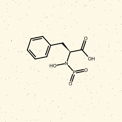 O=C(O)[C@H](Cc1ccccc1)N(O)P(=O)=O